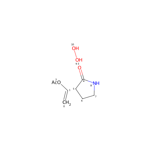 C=COC(C)=O.O=C1CCCN1.OO